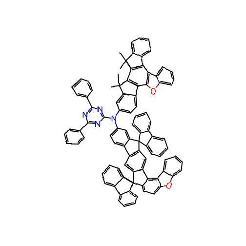 CC1(C)c2cc(N(c3ccc4c(c3)C3(c5ccccc5-c5ccccc53)c3cc5c(cc3-4)C3(c4ccccc4-c4ccccc43)c3ccc4oc6ccccc6c4c3-5)c3nc(-c4ccccc4)nc(-c4ccccc4)n3)ccc2-c2c1c1c(c3c2oc2ccccc23)-c2ccccc2C1(C)C